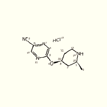 C[C@H]1C[C@@H](Oc2cnc(C#N)cn2)CCN1.Cl